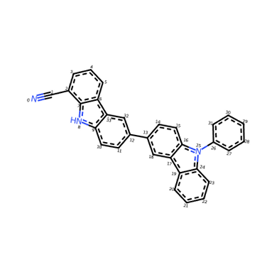 N#Cc1cccc2c1[nH]c1ccc(-c3ccc4c(c3)c3ccccc3n4-c3ccccc3)cc12